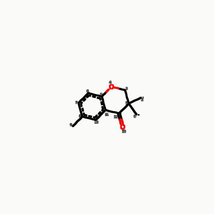 [CH2]C1([CH2])COc2ccc(C)cc2C1=O